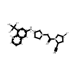 N#CC1C[C@H](F)CN1C(=O)CN1CC[C@H](Nc2cc(C(F)(F)F)c3ncccc3c2)C1